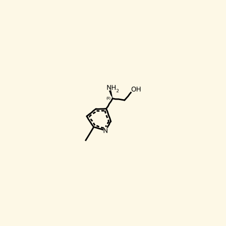 Cc1ccc([C@@H](N)CO)cn1